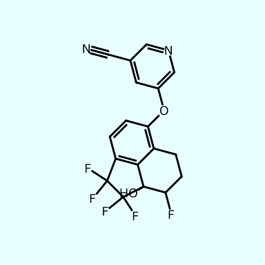 N#Cc1cncc(Oc2ccc3c4c2CCC(F)C4(O)C(F)(F)C3(F)F)c1